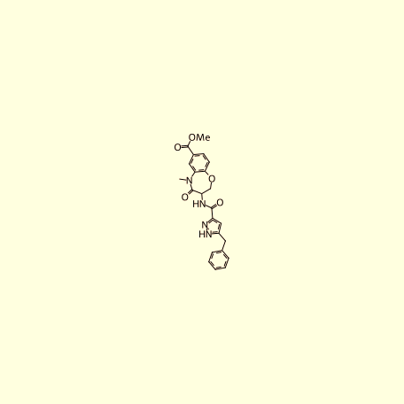 COC(=O)c1ccc2c(c1)N(C)C(=O)C(NC(=O)c1cc(Cc3ccccc3)[nH]n1)CO2